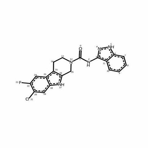 O=C(Nc1n[nH]c2ccccc12)N1CCc2c([nH]c3cc(Cl)c(F)cc23)C1